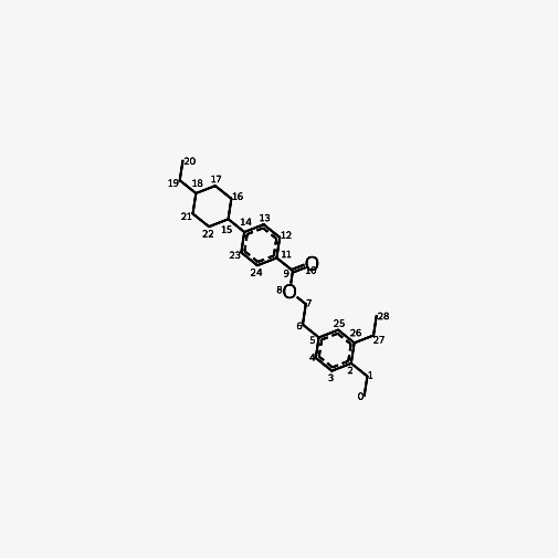 CCc1ccc(CCOC(=O)c2ccc(C3CCC(CC)CC3)cc2)cc1CC